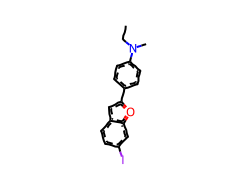 CCN(C)c1ccc(-c2cc3ccc(I)cc3o2)cc1